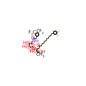 C[C@@H](O)[C@@H](O)[C@H](COC1OC(CNC(=O)Cc2ccc(C(F)(F)F)c(C(F)(F)F)c2)C(O)C(O)C1O)CC(=O)CCCCCCCCCCc1ccc(F)c(F)c1